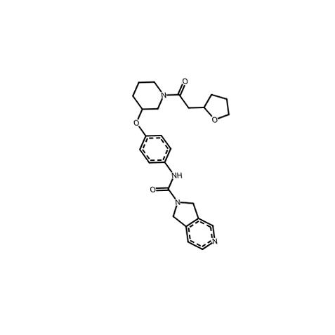 O=C(CC1CCCO1)N1CCCC(Oc2ccc(NC(=O)N3Cc4ccncc4C3)cc2)C1